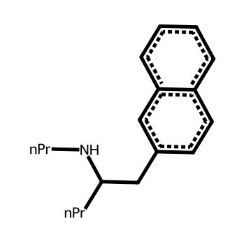 CCCNC(CCC)Cc1ccc2ccccc2c1